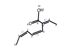 C\C=C/C=C\C(=C/C)C(=O)O